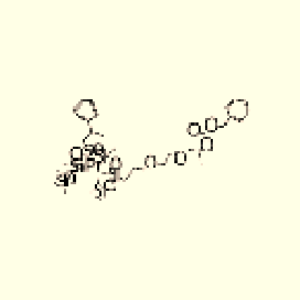 CCC[Si](C)(O[Si](C)(CCCOCCOCC(C)OC(=O)OCc1ccccc1)O[Si](C)(C)C)O[Si](C)(CC(C)c1ccccc1)O[Si](C)(C)O[Si](C)(C)C